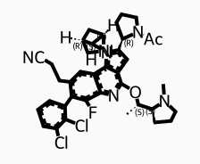 CC(=O)N1CCC[C@@H]1c1cc2c(O[C@@H](C)[C@@H]3CCCN3C)nc3c(F)c(-c4cccc(Cl)c4Cl)c(CCC#N)cc3c2n1[C@H]1[C@H]2CN[C@@H]1C2